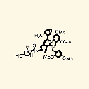 COc1ccc(CN(Cc2ccc(OC)cc2OC)c2nc(-c3cnccc3C)cc3cc(NC(=O)C4[C@H]5CC(O)C[C@@H]45)ncc23)c(OC)c1